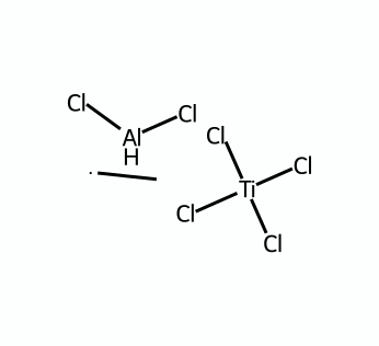 [CH2]C.[Cl][AlH][Cl].[Cl][Ti]([Cl])([Cl])[Cl]